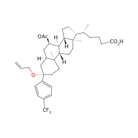 C=CCO[C@@]1(c2ccc(C(F)(F)F)cc2)CC[C@@]2(C)[C@H](C[C@@H](OC(C)=O)[C@@H]3[C@@H]2CC[C@]2(C)[C@@H]([C@H](C)CCCC(=O)O)CC[C@@H]32)C1